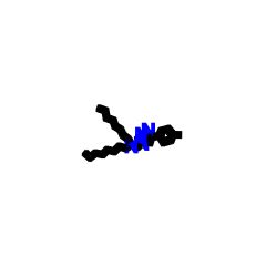 CCCCCCCCN(CCCCCCCC)Cn1cc(-c2ccc(C)cc2)nn1